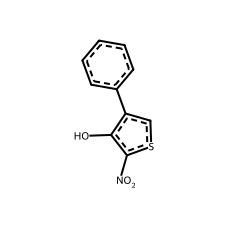 O=[N+]([O-])c1scc(-c2ccccc2)c1O